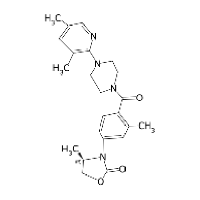 Cc1cnc(N2CCN(C(=O)c3ccc(N4C(=O)OC[C@H]4C)cc3C)CC2)c(C)c1